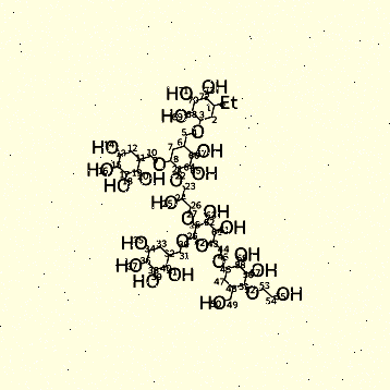 CCC1CC(OCC2CC(OCC3CC(O)C(O)C(O)C3O)C(OCC(O)COC3C(OCC4CC(O)C(O)C(O)C4O)OC(COC4CC(CO)C(OCCO)C(O)C4O)C(O)C3O)C(O)C2O)C(O)C(O)C1O